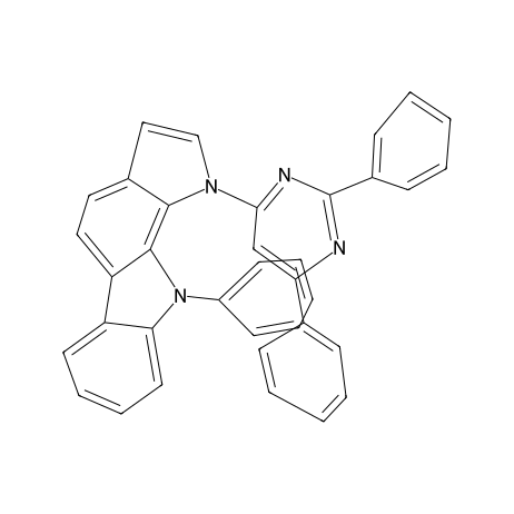 c1ccc(-c2cc(-n3ccc4ccc5c6ccccc6n(-c6ccccc6)c5c43)nc(-c3ccccc3)n2)cc1